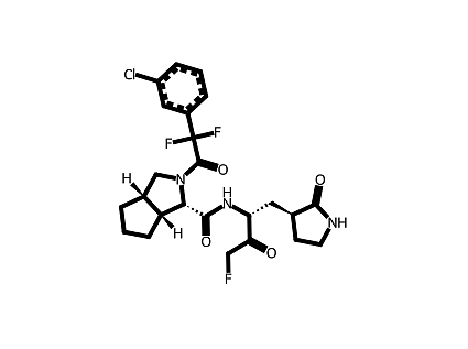 O=C1NCC[C@H]1C[C@@H](NC(=O)[C@@H]1[C@@H]2CCC[C@@H]2CN1C(=O)C(F)(F)c1cccc(Cl)c1)C(=O)CF